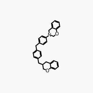 c1ccc2c(c1)CC(Cc1ccc(Cc3ccc(N4COc5ccccc5C4)cc3)cc1)CO2